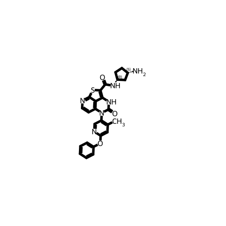 Cc1cc(Oc2ccccc2)ncc1N1C(=O)Nc2c(C(=O)N[C@@H]3CC[C@H](N)C3)sc3nccc1c23